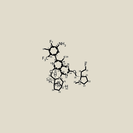 Cc1c(F)c(N)cc(-c2nc3c4c(nc(OC[C@]5(CCF)CCCN5C)nc4c2F)N2C[C@H]4CC[C@H](N4)[C@H]2[C@H](C)O3)c1C(F)(F)F